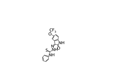 O=C1Nc2ccc(OC(F)(F)F)cc2/C1=N/NC(=S)Nc1ccccc1